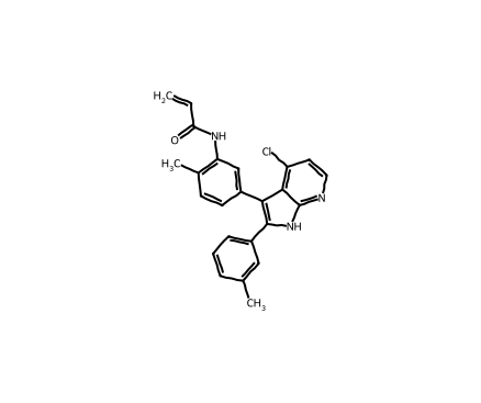 C=CC(=O)Nc1cc(-c2c(-c3cccc(C)c3)[nH]c3nccc(Cl)c23)ccc1C